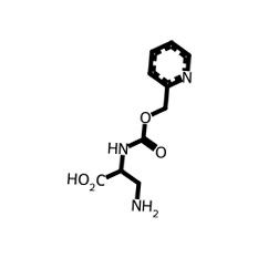 NCC(NC(=O)OCc1ccccn1)C(=O)O